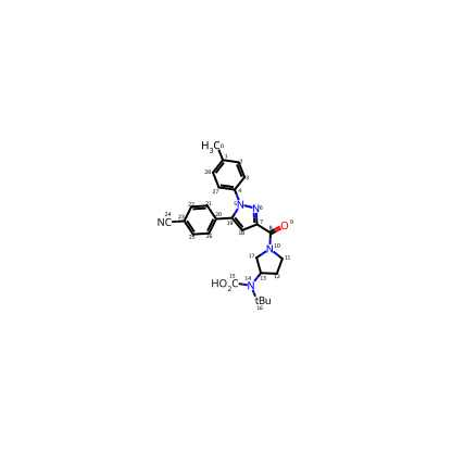 Cc1ccc(-n2nc(C(=O)N3CCC(N(C(=O)O)C(C)(C)C)C3)cc2-c2ccc(C#N)cc2)cc1